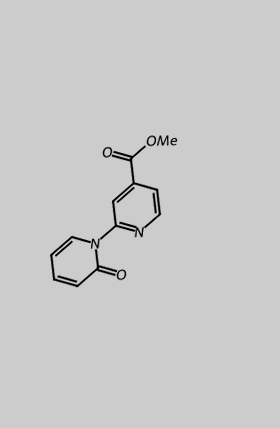 COC(=O)c1ccnc(-n2ccccc2=O)c1